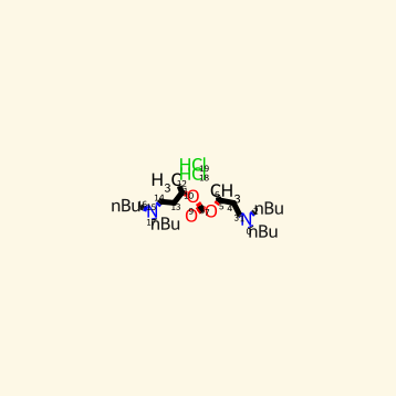 CCCCN(CCCC)CCC(C)OC(=O)OC(C)CCN(CCCC)CCCC.Cl.Cl